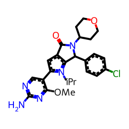 COc1nc(N)ncc1-c1cc2c(n1C(C)C)C(c1ccc(Cl)cc1)N(C1CCOCC1)C2=O